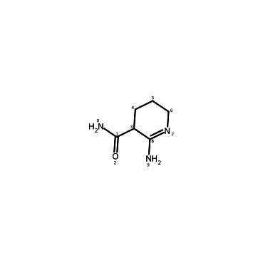 NC(=O)C1CCCN=C1N